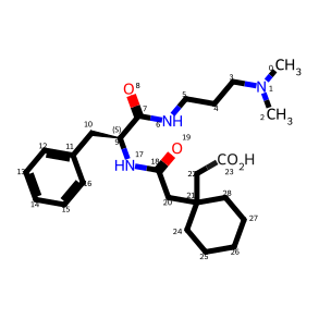 CN(C)CCCNC(=O)[C@H](Cc1ccccc1)NC(=O)CC1(CC(=O)O)CCCCC1